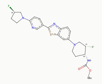 CC(C)(C)OC(=O)N[C@@H]1CCN(c2ccc3nc(-c4ccc(N5CC[C@@H](F)C5)nc4)sc3c2)C[C@@H]1F